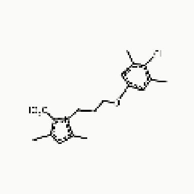 Cc1cc(OCCCn2c(C)cc(C)c2C(=O)O)cc(C)c1Cl